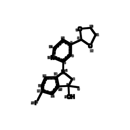 CC1(O)CN(c2cc(C3OCCO3)ccn2)c2ccc(F)cc21